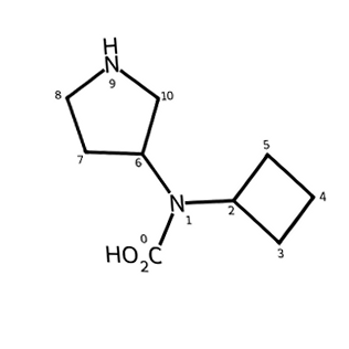 O=C(O)N(C1CCC1)C1CCNC1